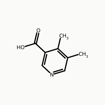 Cc1cncc(C(=O)O)c1C